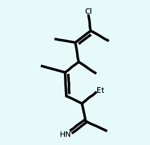 CCC(/C=C(/C)C(C)/C(C)=C(\C)Cl)C(C)=N